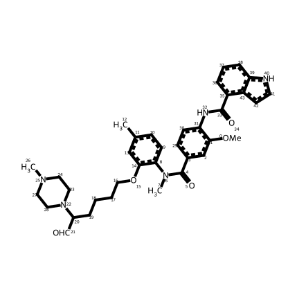 COc1cc(C(=O)N(C)c2ccc(C)cc2OCCCCC(C=O)N2CCN(C)CC2)ccc1NC(=O)c1cccc2[nH]ccc12